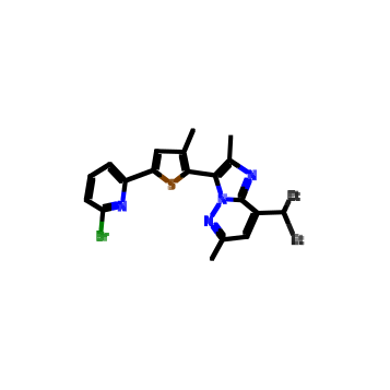 CCC(CC)c1cc(C)nn2c(-c3sc(-c4cccc(Br)n4)cc3C)c(C)nc12